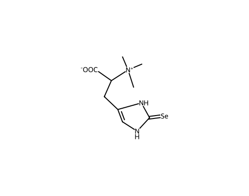 C[N+](C)(C)C(Cc1c[nH]c(=[Se])[nH]1)C(=O)[O-]